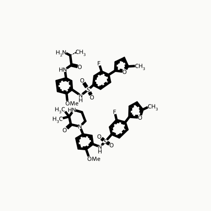 COc1ccc(N2CCNC(C)(C)C2=O)cc1NS(=O)(=O)c1ccc(-c2ccc(C)o2)c(F)c1.COc1ccc(NC(=O)[C@@H](C)N)cc1NS(=O)(=O)c1ccc(-c2ccc(C)o2)c(F)c1